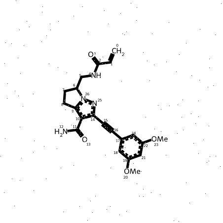 C=CC(=O)NCC1CCc2c(C(N)=O)c(C#Cc3cc(OC)cc(OC)c3)nn21